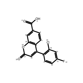 O=C(O)c1ccc2c(-c3ccc(F)cc3Cl)cc(=O)oc2c1